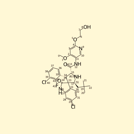 COc1cc(OCCO)ncc1NC(=O)[C@@H]1N[C@@H](CC(C)(C)C)C2(C(=O)Nc3cc(Cl)ccc32)[C@@H]1c1cccc(Cl)c1F